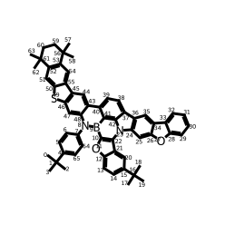 CC(C)(C)c1ccc(N2B3c4oc5ccc(C(C)(C)C)cc5c4-n4c5cc6oc7ccccc7c6cc5c5ccc(c3c54)-c3cc4c(cc32)sc2cc3c(cc24)C(C)(C)CCC3(C)C)cc1